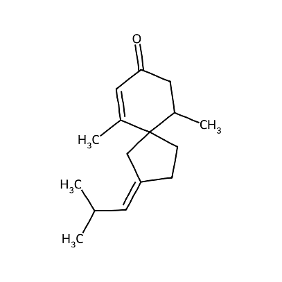 CC1=CC(=O)CC(C)C12CCC(=CC(C)C)C2